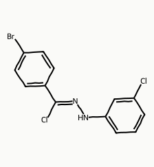 ClC(=NNc1cccc(Cl)c1)c1ccc(Br)cc1